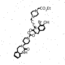 CCOC(=O)CN1CCN(C=C=C=NC(=O)[C@@H](Cc2ccc(O)c(Br)c2)OC(=O)N2CCC(N3CCc4ccccc4NC3=O)CC2)CC1